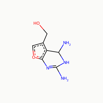 NC1=Nc2occ(CO)c2C(N)N1